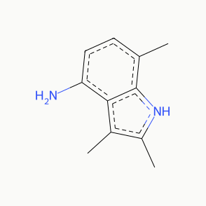 Cc1[nH]c2c(C)ccc(N)c2c1C